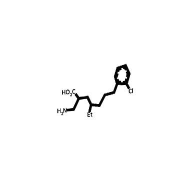 CCC(CCCc1ccccc1Cl)CC(CN)C(=O)O